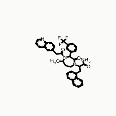 CC1CCN(C(Cc2cccc3ccccc23)C(N)=O)C(=O)C(c2cccc(C(F)(F)F)c2)N1C(=O)Cc1ccc2ncccc2c1